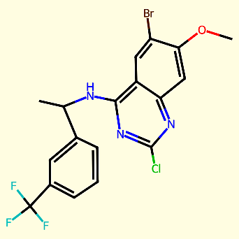 COc1cc2nc(Cl)nc(NC(C)c3cccc(C(F)(F)F)c3)c2cc1Br